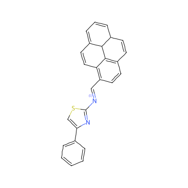 C1=CC2C=Cc3ccc(/C=N/c4nc(-c5ccccc5)cs4)c4c3C2C(=C1)C=C4